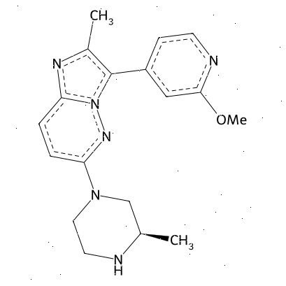 COc1cc(-c2c(C)nc3ccc(N4CCN[C@H](C)C4)nn23)ccn1